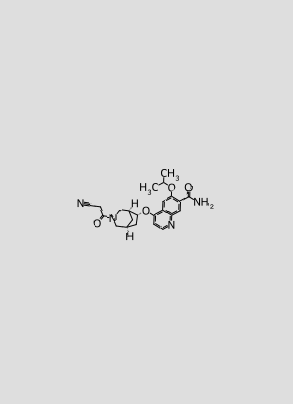 CC(C)Oc1cc2c(O[C@@H]3C[C@@H]4C[C@H]3CN(C(=O)CC#N)C4)ccnc2cc1C(N)=O